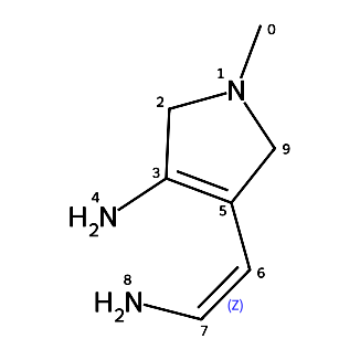 CN1CC(N)=C(/C=C\N)C1